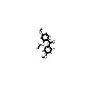 CCOc1cc(OC)ccc1C(=O)c1ccc(OC)cc1